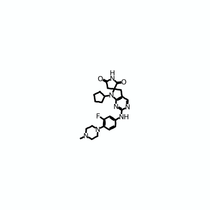 CN1CCN(c2ccc(Nc3ncc4c(n3)N(C3CCCC3)C3(CC(=O)NC3=O)C4)cc2F)CC1